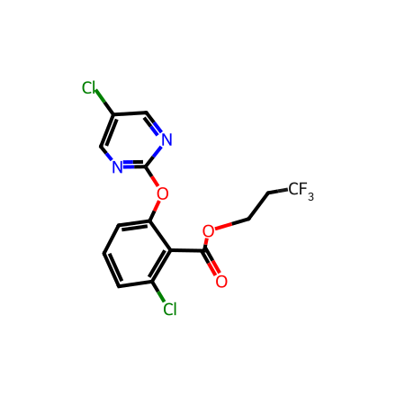 O=C(OCCC(F)(F)F)c1c(Cl)cccc1Oc1ncc(Cl)cn1